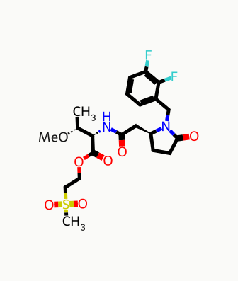 CO[C@H](C)[C@H](NC(=O)C[C@@H]1CCC(=O)N1Cc1cccc(F)c1F)C(=O)OCCS(C)(=O)=O